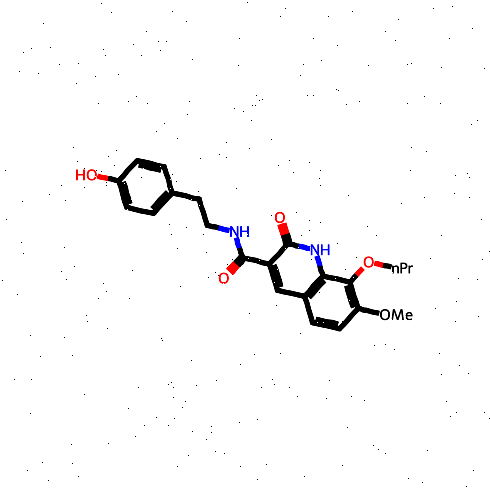 CCCOc1c(OC)ccc2cc(C(=O)NCCc3ccc(O)cc3)c(=O)[nH]c12